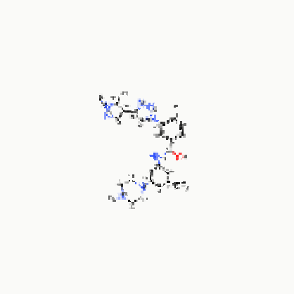 Cc1ccc(C(=O)Nc2cc(N3CCN(C)CC3)cc(C(F)(F)F)c2)cc1-n1cc(-c2cnn(C)c2C)nn1